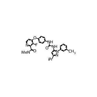 CNC(=O)c1nccc(Oc2ccc(NC(=O)Nc3cc(C(C)C)nn3-c3cccc(C)c3)cc2)c1F